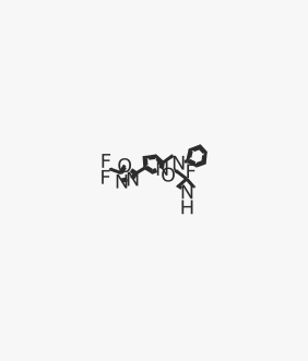 O=C(N(Cc1ccc(-c2nnc(C(F)F)o2)cn1)c1ccccc1)C1(F)CNC1